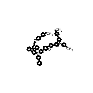 C=Cc1ccc(-c2ccc(OCCCCC3(c4ccccc4)c4ccccc4-c4ccc(N(c5ccc(-c6ccccc6)cc5)c5ccc(-c6ccc7c(c6)oc6cc(-c8ccc9c(c8)c8cc(-c%10ccc(C=C)cc%10)ccc8n9-c8ccc(C=C)cc8)ccc67)cc5)cc43)cc2)cc1